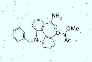 CON(Oc1cccc2c1c1c(C(N)=O)cccc1n2Cc1ccccc1)C(C)=O